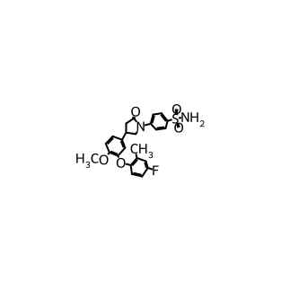 COc1ccc(C2CC(=O)N(c3ccc(S(N)(=O)=O)cc3)C2)cc1Oc1ccc(F)cc1C